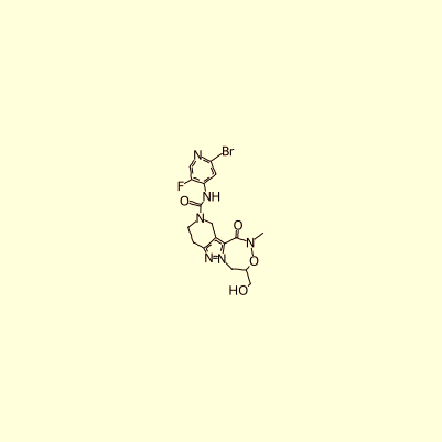 CN1OC(CO)Cn2nc3c(c2C1=O)CN(C(=O)Nc1cc(Br)ncc1F)CC3